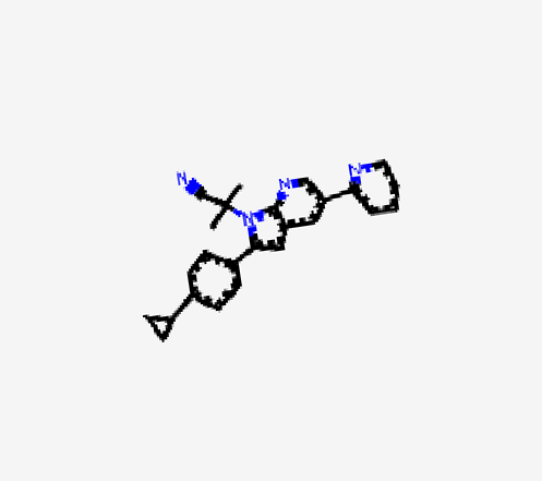 CC(C)(C#N)n1c(-c2ccc(C3CC3)cc2)cc2cc(-c3ccccn3)cnc21